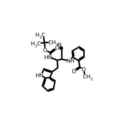 COC(=O)c1ccccc1NC(C#N)C(Cc1c[nH]c2ccccc12)NC(=O)OC(C)(C)C